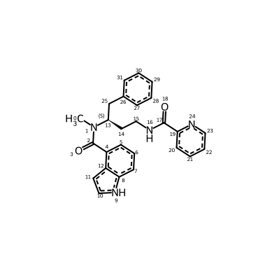 CN(C(=O)c1cccc2[nH]ccc12)[C@H](CCNC(=O)c1ccccn1)Cc1ccccc1